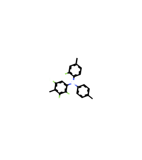 Cc1ccc(N(c2ccc(C)cc2F)c2cc(F)c(C)c(F)c2F)cc1